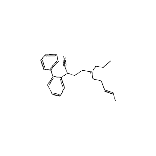 CC=CCCN(CCC)CCC(C#N)c1ccccc1-c1ccccc1